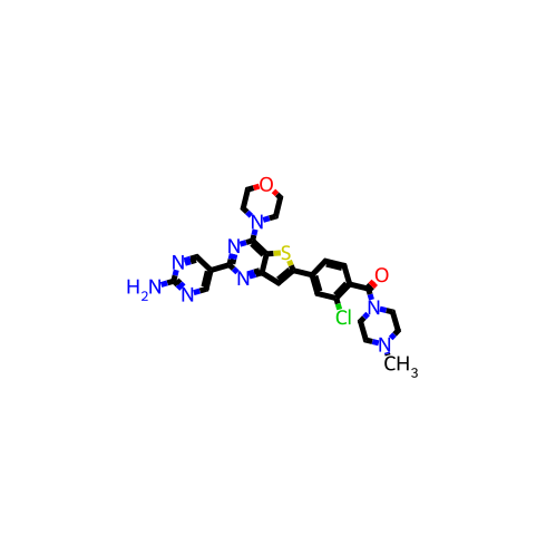 CN1CCN(C(=O)c2ccc(-c3cc4nc(-c5cnc(N)nc5)nc(N5CCOCC5)c4s3)cc2Cl)CC1